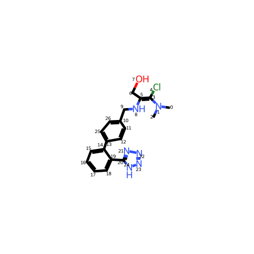 CN(C)/C(Cl)=C(/CO)NCc1ccc(-c2ccccc2-c2nnn[nH]2)cc1